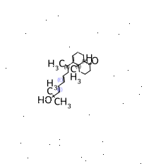 C[C@H](C/C=C/C=C/C(C)(C)O)C1=CCC[C@H]2C(=O)CCC[C@]12C